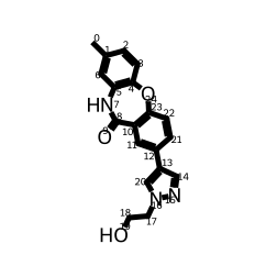 Cc1ccc2c(c1)NC(=O)c1cc(-c3cnn(CCO)c3)ccc1O2